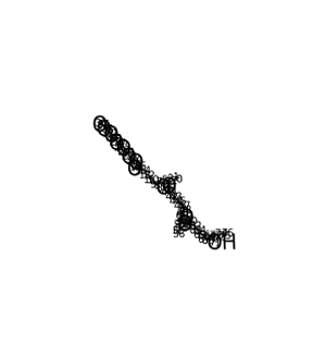 CCCCCCC(C/C=C\CCCCCCCC(=O)OCCOCCOCCOCCOCCOC=O)OC(=O)CCCCCCC/C=C\CC(CCCCCC)OC(=O)CCCCCCC/C=C\CC(O)CCCCC